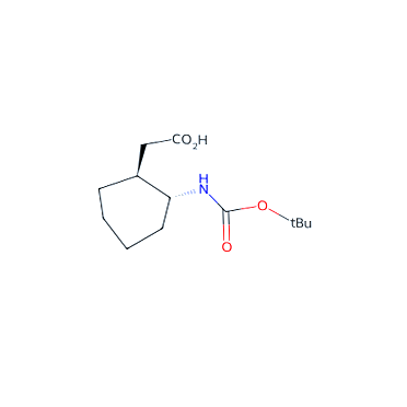 CC(C)(C)OC(=O)N[C@@H]1CCCC[C@H]1CC(=O)O